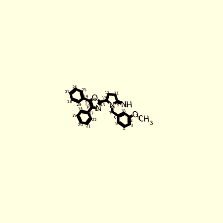 COc1cccc(CN2C(=N)CCC2c2nc(-c3ccccc3)c(-c3ccccc3)o2)c1